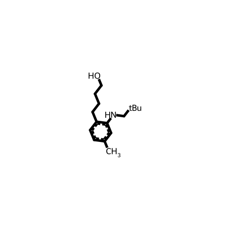 Cc1ccc(CCCCO)c(NCC(C)(C)C)c1